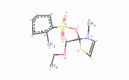 CCOCC1(OS(=O)(=O)c2ccccc2C)SC=CN1C